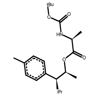 Cc1ccc([C@H](C(C)C)[C@H](C)OC(=O)[C@H](C)NC(=O)OC(C)(C)C)cc1